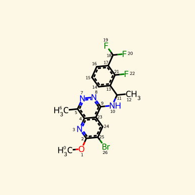 COc1nc2c(C)nnc(NC(C)c3cccc(C(F)F)c3F)c2cc1Br